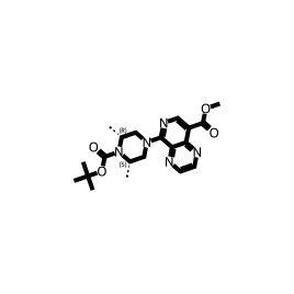 COC(=O)c1cnc(N2C[C@@H](C)N(C(=O)OC(C)(C)C)[C@@H](C)C2)c2nccnc12